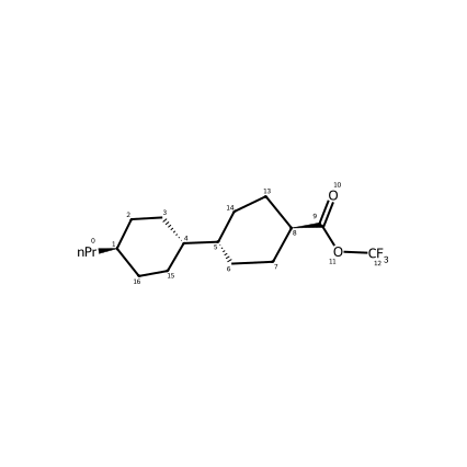 CCC[C@H]1CC[C@H]([C@H]2CC[C@H](C(=O)OC(F)(F)F)CC2)CC1